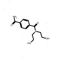 NC(=O)c1ccc(C(=O)N(CCO)CCO)cc1